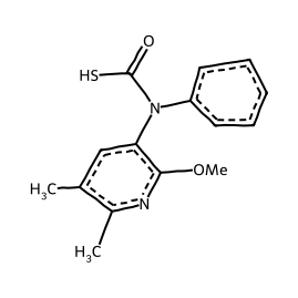 COc1nc(C)c(C)cc1N(C(=O)S)c1ccccc1